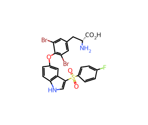 N[C@H](Cc1cc(Br)c(Oc2ccc3[nH]cc(S(=O)(=O)c4ccc(F)cc4)c3c2)c(Br)c1)C(=O)O